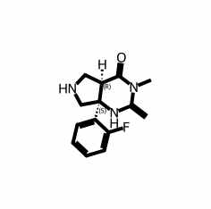 C=C1N[C@@]2(c3ccccc3F)CNC[C@H]2C(=O)N1C